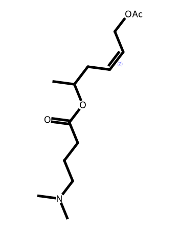 CC(=O)OC/C=C\CC(C)OC(=O)CCCN(C)C